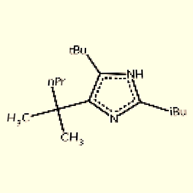 CCCC(C)(C)c1nc(C(C)CC)[nH]c1C(C)(C)C